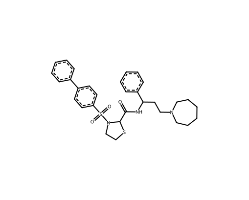 O=C(NC(CCN1CCCCCC1)c1ccccc1)C1SCCN1S(=O)(=O)c1ccc(-c2ccccc2)cc1